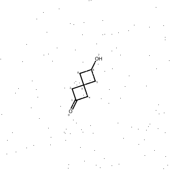 O=C1CC2(C1)CC(O)C2